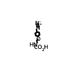 [N-]=[N+]=NCc1ccc(OCCNC(=O)O)cc1